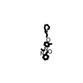 Cc1cc(-n2c(C)nc3ccccc3c2=O)ccc1OCCCN1CCCCC1